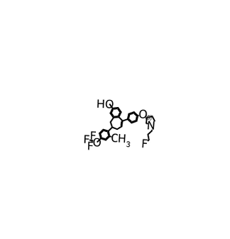 Cc1cc(OC(F)(F)F)ccc1C1CC=C(c2ccc(O[C@H]3CCN(CCCF)C3)cc2)c2ccc(O)cc2C1